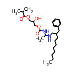 CCCCCCCCC(CNC(C)NC(=O)OCC(O)COC(=O)C(C)C)Cc1ccccc1